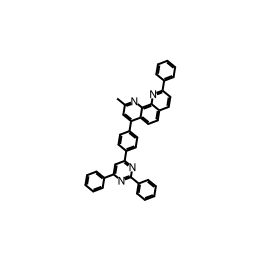 Cc1cc(-c2ccc(-c3cc(-c4ccccc4)nc(-c4ccccc4)n3)cc2)c2ccc3ccc(-c4ccccc4)nc3c2n1